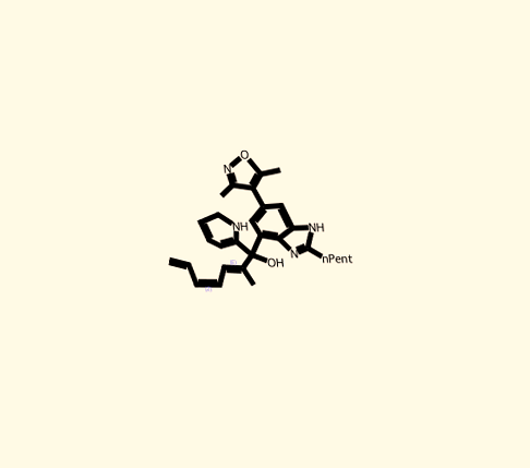 C=C/C=C\C=C(/C)C(O)(C1=CC=CCN1)c1cc(-c2c(C)noc2C)cc2[nH]c(CCCCC)nc12